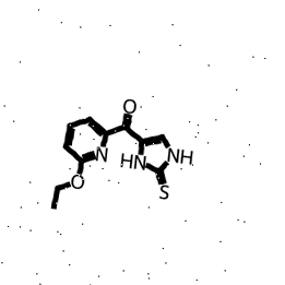 CCOc1cccc(C(=O)c2c[nH]c(=S)[nH]2)n1